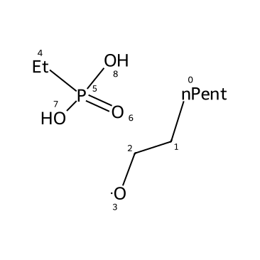 CCCCCCC[O].CCP(=O)(O)O